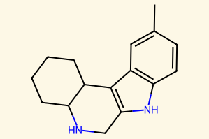 Cc1ccc2[nH]c3c(c2c1)C1CCCCC1NC3